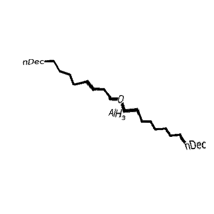 CCCCCCCCCCCCCCCCCCOCCCCCCCCCCCCCCCCCC.[AlH3]